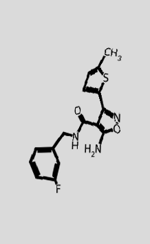 Cc1ccc(-c2noc(N)c2C(=O)NCc2cccc(F)c2)s1